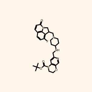 CC(C)(C)OC(=O)N1CCOc2cnc(CNC3CCN(CC4Cn5c(=O)ccc6ccc(F)c4c65)CC3)cc21